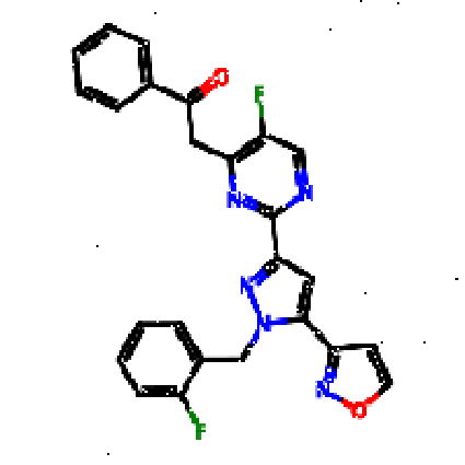 O=C(Cc1nc(-c2cc(-c3ccon3)n(Cc3ccccc3F)n2)ncc1F)c1ccccc1